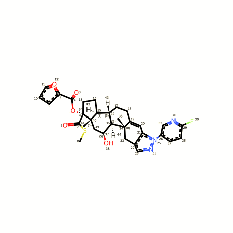 CSC(=O)[C@@]1(OC(=O)c2ccco2)CC[C@H]2[C@@H]3CCC4=Cc5c(cnn5-c5ccc(F)nc5)C[C@]4(C)[C@H]3[C@@H](O)C[C@@]21C